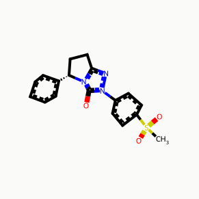 CS(=O)(=O)c1ccc(-n2nc3n(c2=O)[C@H](c2ccccc2)CC3)cc1